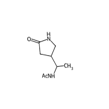 CC(=O)NC(C)C1CNC(=O)C1